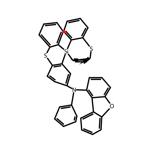 c1ccc(N(c2ccc3c(c2)[Si]2(c4ccccc4Sc4ccccc42)c2ccccc2S3)c2cccc3oc4ccccc4c23)cc1